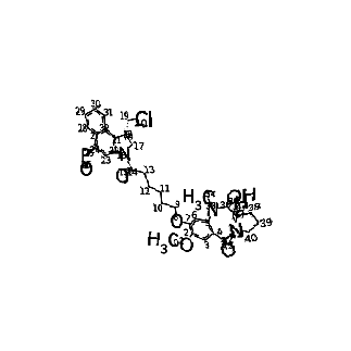 COc1cc2c(cc1OCCCCCC(=O)N1C[C@@H](CCl)c3c1cc(P=O)c1ccccc31)N(C)C(O)[C@@H]1CCCN1C2=O